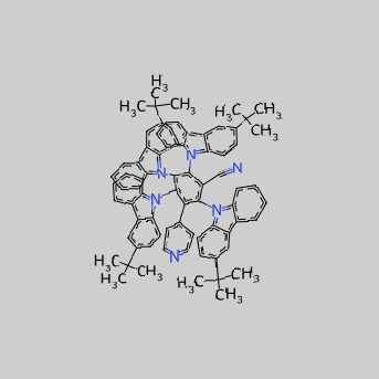 CC(C)(C)c1ccc2c(c1)c1ccccc1n2-c1c(C#N)c(-n2c3ccccc3c3cc(C(C)(C)C)ccc32)c(-n2c3ccccc3c3cc(C(C)(C)C)ccc32)c(-n2c3ccccc3c3cc(C(C)(C)C)ccc32)c1-c1ccncc1